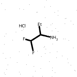 CCC(N)C(F)F.Cl